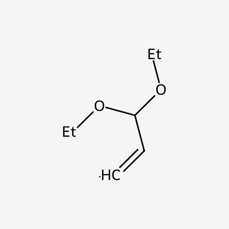 [CH]=CC(OCC)OCC